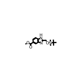 COC(=O)c1ccc2[nH]c(CO[Si](C)(C)C(C)(C)C)nc2c1